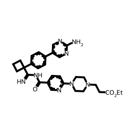 CCOC(=O)CCN1CCN(c2ccc(C(=O)NC(=N)C3(c4ccc(-c5cnc(N)nc5)cc4)CCC3)cn2)CC1